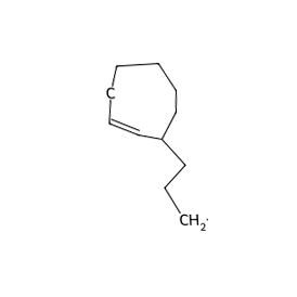 [CH2]CCC1C=CCCCCC1